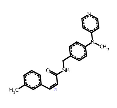 Cc1cccc(/C=C\C(=O)NCc2ccc(N(C)c3ccncc3)cc2)c1